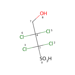 O=S(=O)(O)C(Cl)(Cl)C(Cl)(Cl)CO